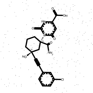 NC(=O)[C@]1(n2c(=O)cc(C(=O)O)[nH]c2=O)CCC[C@@](O)(C#Cc2cccc(Cl)c2)C1